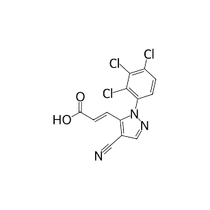 N#Cc1cnn(-c2ccc(Cl)c(Cl)c2Cl)c1/C=C/C(=O)O